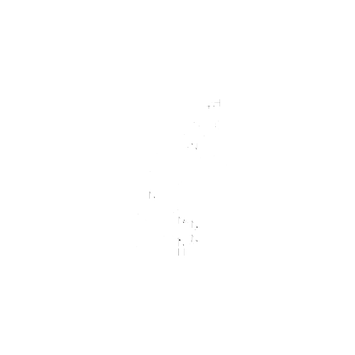 O=C(C1CC1)N(Cc1ccc2nc(-c3ccccc3-c3nnn[nH]3)ccc2c1)CC1(C(=O)O)CCCC1